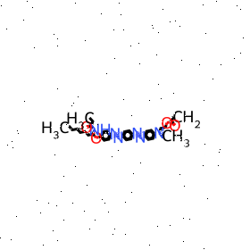 C=CC(=O)OCCN(CC)c1ccc(/N=N/c2ccc(/N=N/c3ccc(OC(CCCCCCC)NC(=O)CC)cc3)cc2)cc1